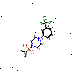 CC(C)S(=O)(=O)N1CCN(c2cccc(C(F)(F)F)c2)CC1